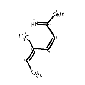 C/C=C(C)\C=C/C(=N)OC